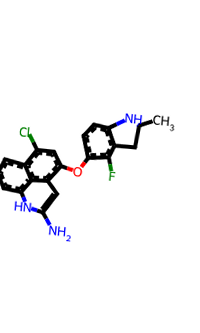 CC1Cc2c(ccc(Oc3cc(Cl)c4cccc5c4c3C=C(N)N5)c2F)N1